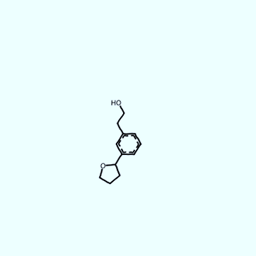 OCCc1cccc(C2CCCO2)c1